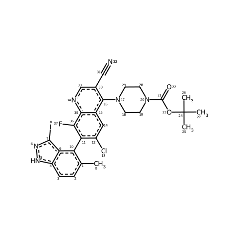 Cc1ccc2[nH]nc(I)c2c1-c1c(Cl)cc2c(N3CCN(C(=O)OC(C)(C)C)CC3)c(C#N)cnc2c1F